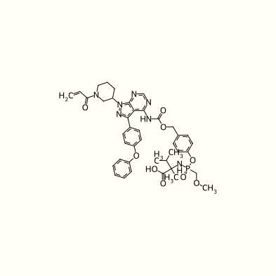 C=CC(=O)N1CCCC(n2nc(-c3ccc(Oc4ccccc4)cc3)c3c(NC(=O)OCc4ccc(OP(=O)(COC)NC(C)(C(=O)O)C(C)C)cc4)ncnc32)C1